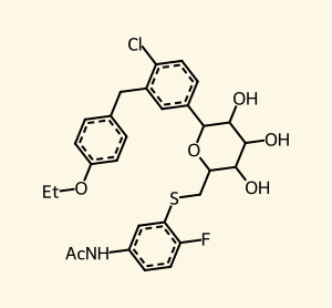 CCOc1ccc(Cc2cc(C3OC(CSc4cc(NC(C)=O)ccc4F)C(O)C(O)C3O)ccc2Cl)cc1